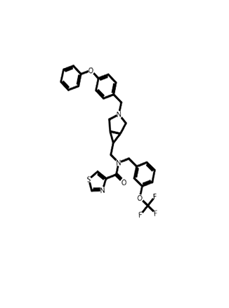 O=C(c1cscn1)N(Cc1cccc(OC(F)(F)F)c1)CC1C2CN(Cc3ccc(Oc4ccccc4)cc3)CC21